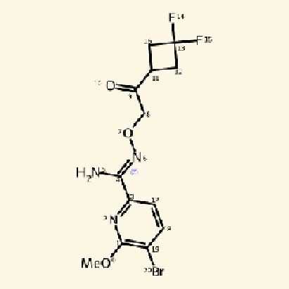 COc1nc(/C(N)=N/OCC(=O)C2CC(F)(F)C2)ccc1Br